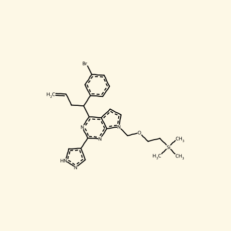 C=CCC(c1cccc(Br)c1)c1nc(-c2cn[nH]c2)nc2c1ccn2COCC[Si](C)(C)C